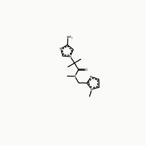 CN(Cc1nccn1C)C(=O)C(C)(C)n1cnc(N)c1